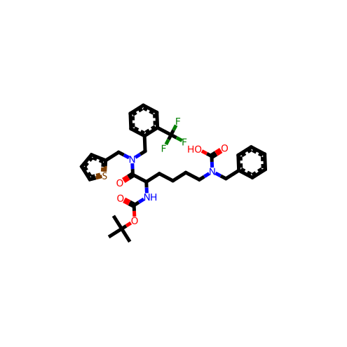 CC(C)(C)OC(=O)NC(CCCCN(Cc1ccccc1)C(=O)O)C(=O)N(Cc1cccs1)Cc1ccccc1C(F)(F)F